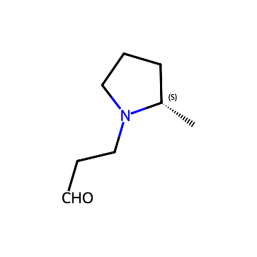 C[C@H]1CCCN1CCC=O